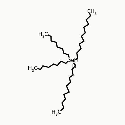 CCCCCCCCCCCC[SH](CCCCCCCCCCCC)[SnH]([CH2]CCCCCCC)[CH2]CCCCCCC